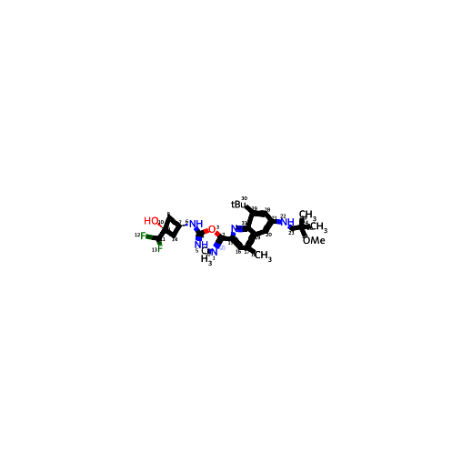 C/N=C(\OC(=N)N[C@H]1C[C@](O)(C(F)F)C1)c1cc(C)c2cc(NCC(C)(C)OC)cc(C(C)(C)C)c2n1